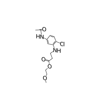 COCCOC(=O)CCNc1cc(NC(C)=O)ccc1Cl